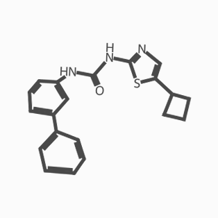 O=C(Nc1cccc(-c2ccccc2)c1)Nc1ncc(C2CCC2)s1